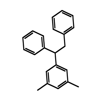 Cc1cc(C)cc(C(Cc2ccccc2)c2ccccc2)c1